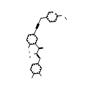 COc1ccc(CC#Cc2ccc3c(c2)C(=O)/C(=C/c2ccc(Cl)c(Cl)c2)[S+]([O-])N3)cn1